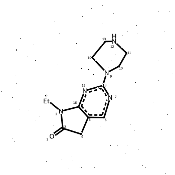 CCN1C(=O)Cc2cnc(N3CCNCC3)nc21